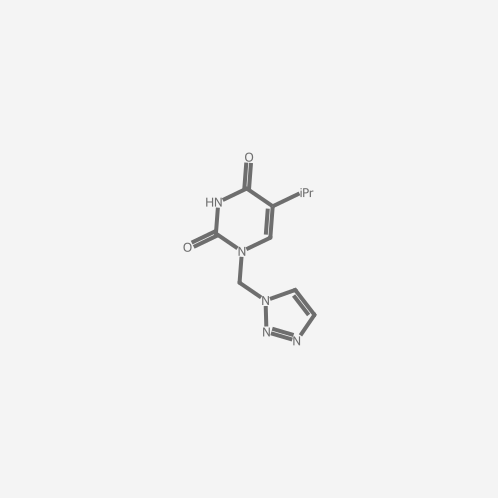 CC(C)c1cn(Cn2ccnn2)c(=O)[nH]c1=O